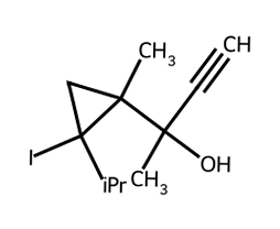 C#CC(C)(O)C1(C)CC1(I)C(C)C